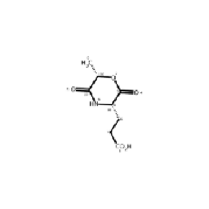 C[C@@H]1OC(=O)[C@H](CCC(=O)O)NC1=O